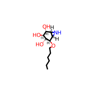 CCCCCCO[C@H]1[C@H](O)[C@@H](O)[C@H](O)[C@H]2N[C@H]21